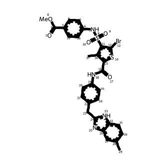 COC(=O)c1ccc(NS(=O)(=O)c2c(Br)sc(C(=O)Nc3ccc(Cc4nc5cc(C)ccc5[nH]4)cc3)c2C)cc1